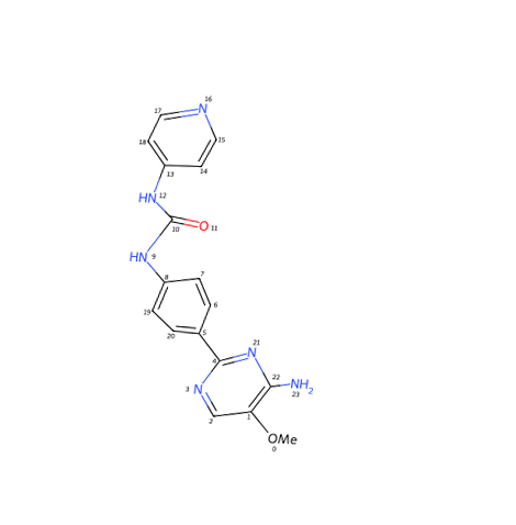 COc1cnc(-c2ccc(NC(=O)Nc3ccncc3)cc2)nc1N